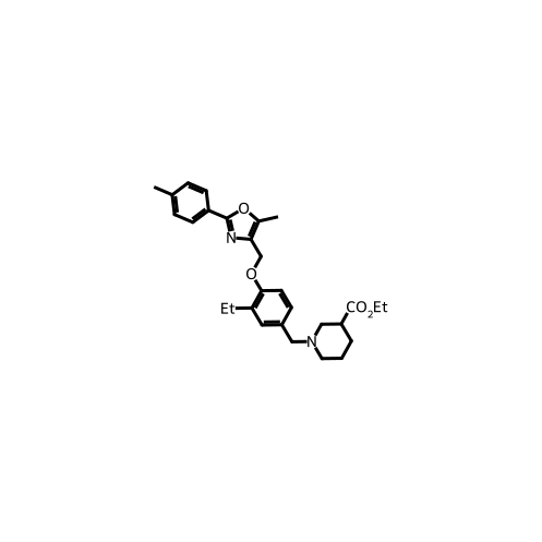 CCOC(=O)C1CCCN(Cc2ccc(OCc3nc(-c4ccc(C)cc4)oc3C)c(CC)c2)C1